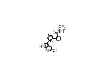 O=C(NCC(F)(F)F)C1=C(c2cncc(-c3c[nH]c4ncc(Cl)cc34)n2)CCC1